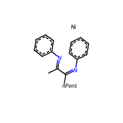 CCCCCC(=Nc1ccccc1)C(C)=Nc1ccccc1.[Ni]